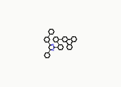 c1ccc(-c2cccc(-c3cc(-c4ccccc4)nc(-c4ccccc4-c4ccccc4-c4ccc5c6ccccc6c6ccccc6c5c4)n3)c2)cc1